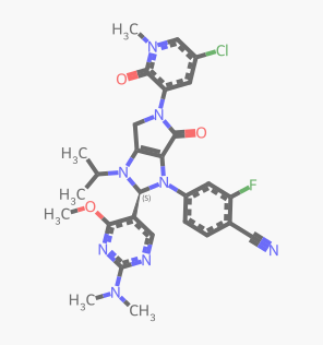 COc1nc(N(C)C)ncc1[C@@H]1N(c2ccc(C#N)c(F)c2)C2=C(CN(c3cc(Cl)cn(C)c3=O)C2=O)N1C(C)C